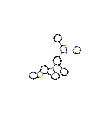 c1ccc(-c2nc(-c3ccccc3)nc(-c3ccc(-n4c5ccccc5c5c6sc7ccccc7c6ccc54)c(-c4ccccc4)c3)n2)cc1